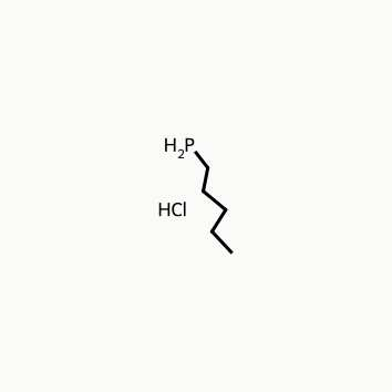 CCCCCP.Cl